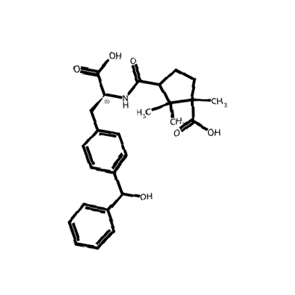 CC1(C(=O)O)CCC(C(=O)N[C@@H](Cc2ccc(C(O)c3ccccc3)cc2)C(=O)O)C1(C)C